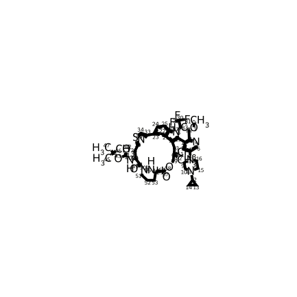 CO[C@@H](C)c1ncc(N2CCN(C3CC3)CC2)cc1-c1c2c3cc(ccc3n1CC(F)(F)F)-c1csc(n1)C[C@H](NC(=O)OC(C)(C)C)C(=O)N1CCC[C@H](N1)C(=O)OCC(C)(C)C2